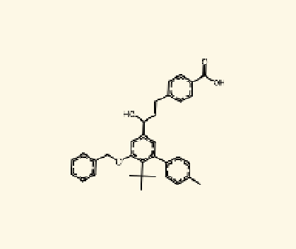 Cc1ccc(-c2cc(C(O)/C=C/c3ccc(C(=O)O)cc3)cc(OCc3ccccc3)c2C(C)(C)C)cc1